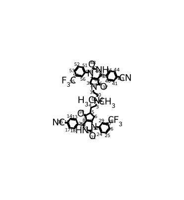 C[N+](C)(CCC1CC2=C(C1=O)[C@@H](c1ccc(C#N)cc1)NC(=O)N2c1cccc(C(F)(F)F)c1)CCN1CC2=C(C1=O)[C@@H](c1ccc(C#N)cc1)NC(=O)N2c1cccc(C(F)(F)F)c1